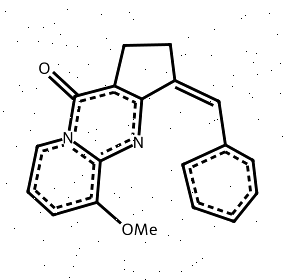 COc1cccn2c(=O)c3c(nc12)/C(=C\c1ccccc1)CC3